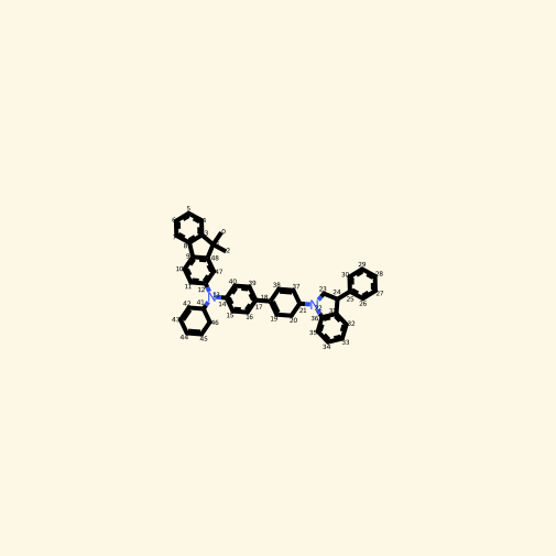 CC1(C)c2ccccc2-c2ccc(N(c3ccc(C4=CCC(N5CC(c6ccccc6)c6ccccc65)C=C4)cc3)C3C=CC=CC3)cc21